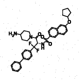 NC1CCN(C(=O)[C@H](NS(=O)(=O)c2ccc3cc(OC4CCCC4)ccc3c2)C(F)(F)c2ccc(-c3ccccc3)cc2)CC1